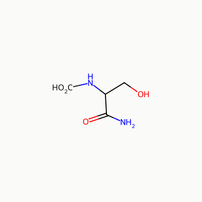 NC(=O)C(CO)NC(=O)O